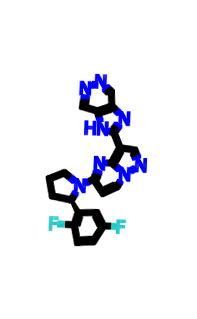 Fc1ccc(F)c([C@H]2CCCN2c2ccn3ncc(-c4nc5cnncc5[nH]4)c3n2)c1